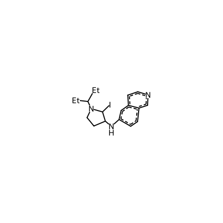 CCC(CC)N1CCC(Nc2ccc3cnccc3c2)C1I